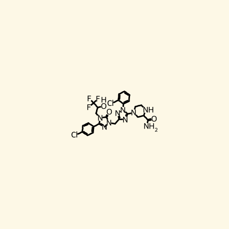 NC(=O)C1CN(c2nc(Cn3nc(-c4ccc(Cl)cc4)n(CC(O)C(F)(F)F)c3=O)nn2-c2ccccc2Cl)CCN1